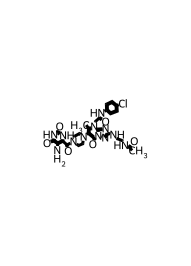 CC(=O)NCCNc1nc2n(CC(=O)Nc3ccc(Cl)cc3)c(C)c(N3CCN(C(=O)c4[nH]c(=O)[nH]c(=O)c4N)CC3)c(=O)n2n1